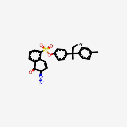 Cc1ccc(C(C)(CC(C)C)c2ccc(OS(=O)(=O)c3cccc4c3C=CC(=[N+]=[N-])C4=O)cc2)cc1